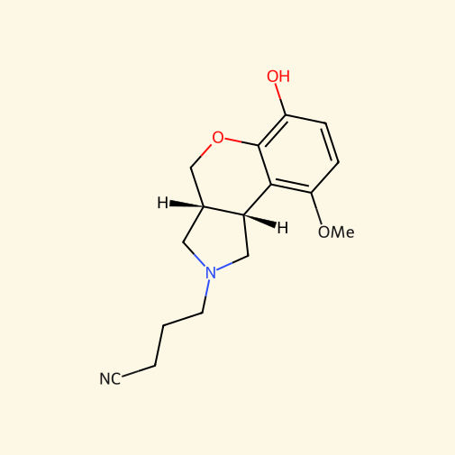 COc1ccc(O)c2c1[C@@H]1CN(CCCC#N)C[C@@H]1CO2